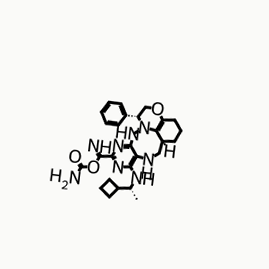 C[C@@H](Nc1nc(C(=N)OC(N)=O)nc2c1NC[C@@H]1CCCC3=C1N(N2)[C@H](c1ccccc1)CO3)C1CCC1